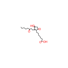 CCCCCC(=O)CC[C@@H]1C(CCCCCCC(=O)O)C(=O)C[C@H]1O